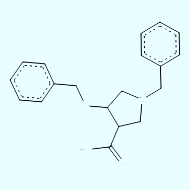 O=C(O)C1CN(Cc2ccccc2)CC1OCc1ccccc1